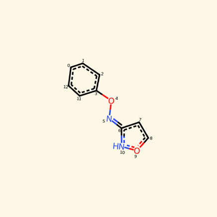 c1ccc(ON=c2cco[nH]2)cc1